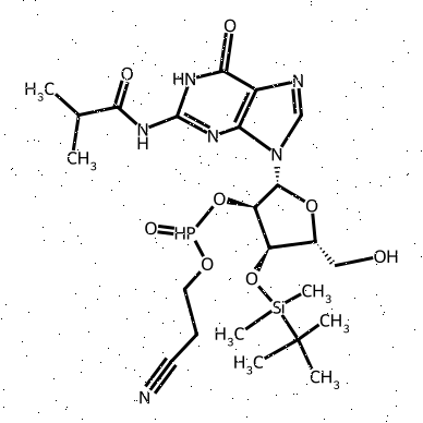 CC(C)C(=O)Nc1nc2c(ncn2[C@@H]2O[C@H](CO)[C@@H](O[Si](C)(C)C(C)(C)C)[C@H]2O[PH](=O)OCCC#N)c(=O)[nH]1